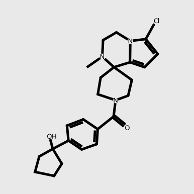 CN1CCn2c(Cl)ccc2C12CCN(C(=O)c1ccc(C3(O)CCCC3)cc1)CC2